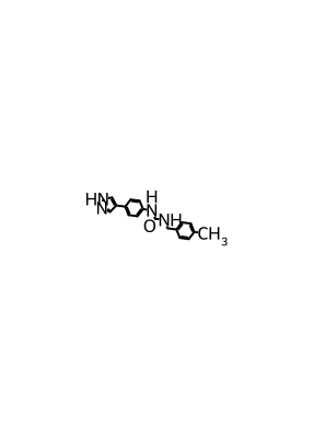 Cc1ccc(CNC(=O)Nc2ccc(-c3cn[nH]c3)cc2)cc1